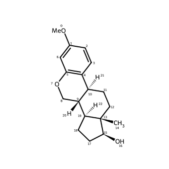 COc1ccc2c(c1)OC[C@@H]1[C@@H]2CC[C@]2(C)[C@@H](O)CC[C@@H]12